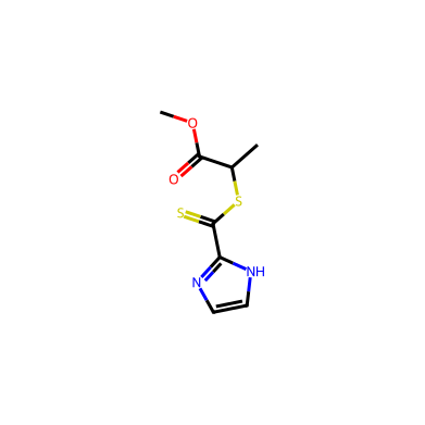 COC(=O)C(C)SC(=S)c1ncc[nH]1